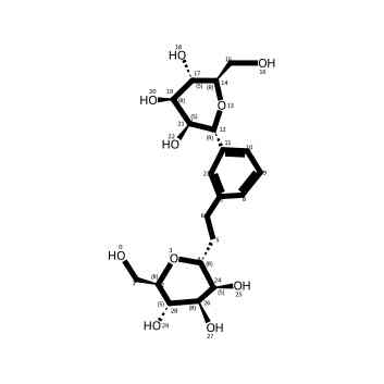 OC[C@H]1O[C@H](CCc2cccc([C@H]3O[C@H](CO)[C@@H](O)[C@H](O)[C@@H]3O)c2)[C@@H](O)[C@@H](O)[C@@H]1O